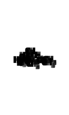 C=CCCCN(C(=O)Nc1c(C(C)C)cc(-c2cccc(OCCN(C)C)c2)cc1C(C)C)c1cc2cccnc2[nH]c1=O